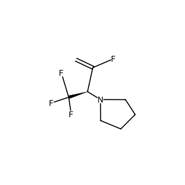 C=C(F)[C@@H](N1CCCC1)C(F)(F)F